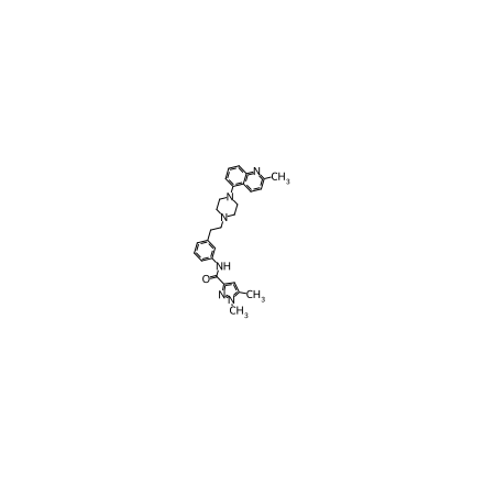 Cc1ccc2c(N3CCN(CCc4cccc(NC(=O)c5cc(C)n(C)n5)c4)CC3)cccc2n1